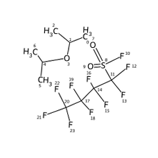 CC(C)OC(C)C.O=S(=O)(F)C(F)(F)C(F)(F)C(F)(F)C(F)(F)F